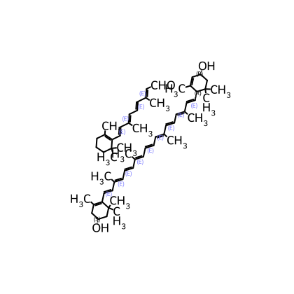 CC1=C(/C=C/C(C)=C/C=C/C(C)=C/C=O)C(C)(C)CCC1.CC1=C[C@H](O)CC(C)(C)[C@H]1/C=C/C(C)=C/C=C/C(C)=C/C=C/C=C(C)/C=C/C=C(C)/C=C/C1=C(C)C[C@@H](O)CC1(C)C